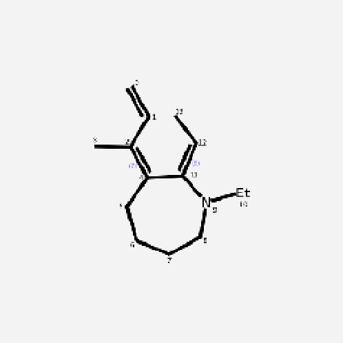 C=C/C(C)=C1/CCCCN(CC)/C1=C/C